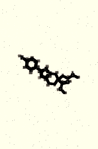 COCCC1(C(=O)OC)CCc2cc(-c3ccc(F)cn3)nn2C1